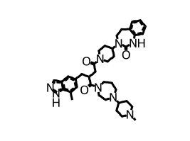 Cc1cc(CC(CC(=O)N2CCC(N3CCc4ccccc4NC3=O)CC2)C(=O)N2CCCN(C3CCN(C)CC3)CC2)cc2cn[nH]c12